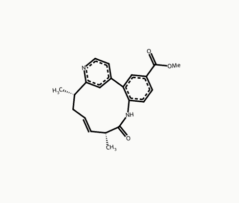 COC(=O)c1ccc2c(c1)-c1ccnc(c1)[C@@H](C)C/C=C/[C@@H](C)C(=O)N2